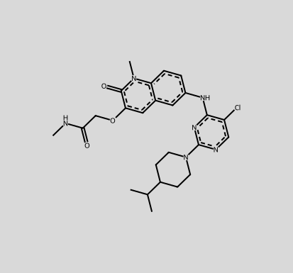 CNC(=O)COc1cc2cc(Nc3nc(N4CCC(C(C)C)CC4)ncc3Cl)ccc2n(C)c1=O